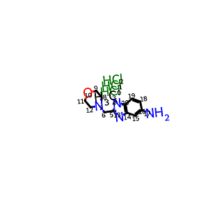 Cl.Cl.Cl.Cn1c(CN2CCOCC2)nc2cc(N)ccc21